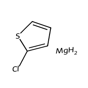 Clc1cccs1.[MgH2]